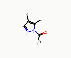 Cc1cnn(C(=O)C(C)C)c1C